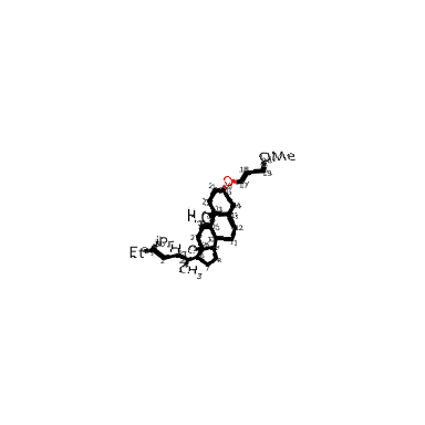 CCC(CCC(C)C1CCC2C3CC=C4CC(OCCCOC)CCC4(C)C3CCC12C)C(C)C